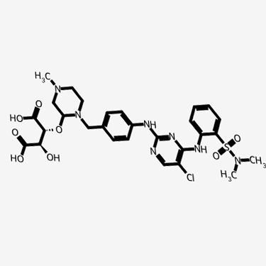 CN1CCN(Cc2ccc(Nc3ncc(Cl)c(Nc4ccccc4S(=O)(=O)N(C)C)n3)cc2)C(O[C@@H](C(=O)O)[C@@H](O)C(=O)O)C1